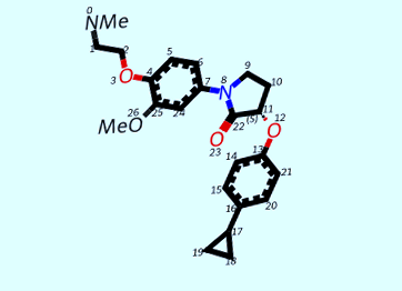 CNCCOc1ccc(N2CC[C@H](Oc3ccc(C4CC4)cc3)C2=O)cc1OC